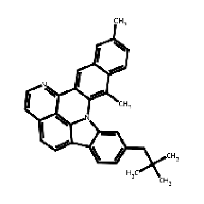 Cc1ccc2c(C)c3c(cc2c1)c1nccc2ccc4c5ccc(CC(C)(C)C)cc5n3c4c21